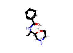 CC(NC(=O)c1[c]cccc1)C1CNCCO1